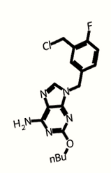 CCCCOc1nc(N)c2ncn(Cc3ccc(F)c(CCl)c3)c2n1